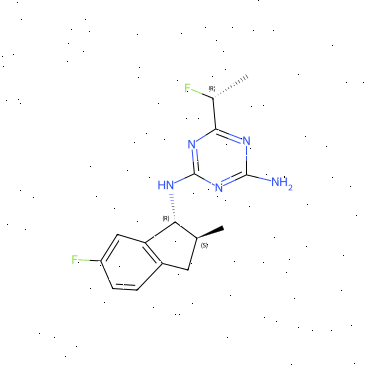 C[C@@H](F)c1nc(N)nc(N[C@H]2c3cc(F)ccc3C[C@@H]2C)n1